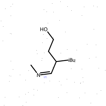 CCC(C)C(/C=N\C)CCO